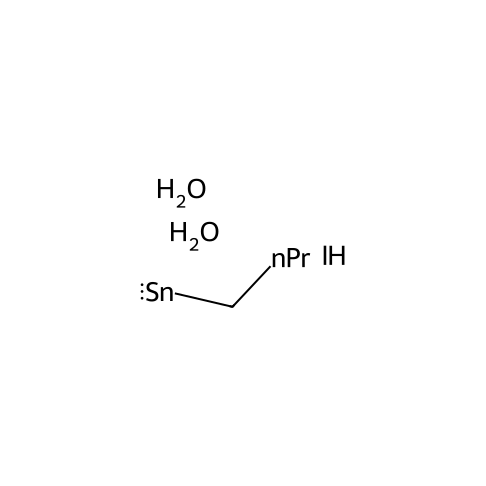 CCC[CH2][Sn].I.O.O